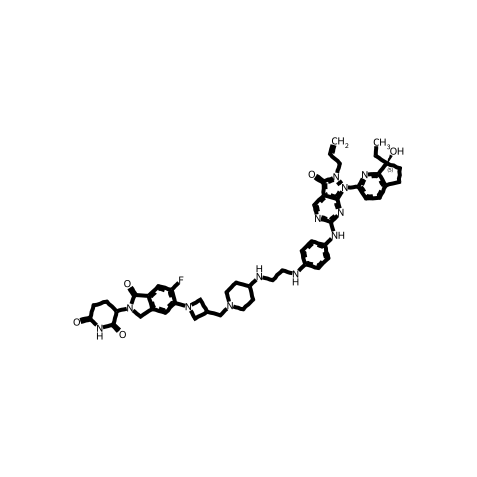 C=CCn1c(=O)c2cnc(Nc3ccc(NCCNC4CCN(CC5CN(c6cc7c(cc6F)C(=O)N(C6CCC(=O)NC6=O)C7)C5)CC4)cc3)nc2n1-c1ccc2c(n1)[C@](O)(CC)CC2